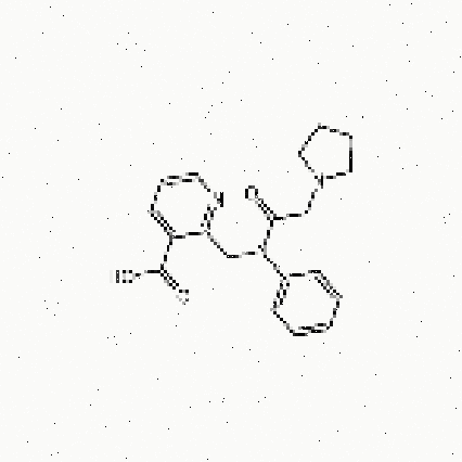 O=C(O)c1cccnc1CN(C(=O)CN1CCCC1)c1ccccc1